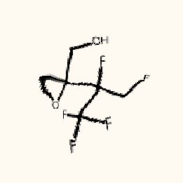 OCC1(C(F)(CF)C(F)(F)F)CO1